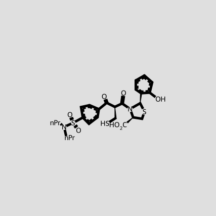 CCCN(CCC)S(=O)(=O)c1ccc(C(=O)[C@H](CS)C(=O)N2[C@@H](c3ccccc3O)SC[C@H]2C(=O)O)cc1